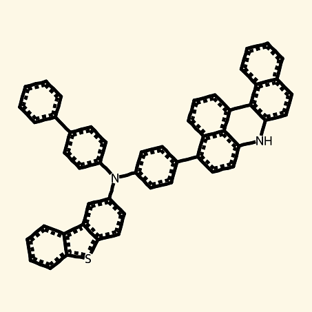 c1ccc(-c2ccc(N(c3ccc(-c4ccc5c6c(cccc46)-c4c(ccc6ccccc46)N5)cc3)c3ccc4sc5ccccc5c4c3)cc2)cc1